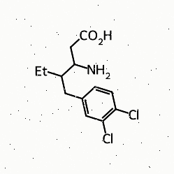 CCC(Cc1ccc(Cl)c(Cl)c1)C(N)CC(=O)O